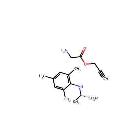 C#CCOC(=O)CN.Cc1cc(C)c(N[C@@H](C)C(=O)O)c(C)c1